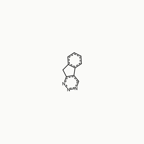 c1ccc2c(c1)Cc1nnncc1-2